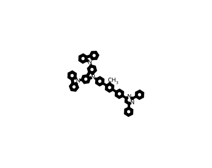 Cc1cc(-c2ccc(-c3cc(-c4ccccc4)nc(-c4ccccc4)n3)cc2)ccc1-c1ccc(-n2c3ccc(-n4c5ccccc5c5ccccc54)cc3c3cc(-n4c5ccccc5c5ccccc54)ccc32)cc1